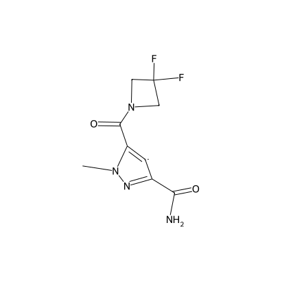 Cn1nc(C(N)=O)[c]c1C(=O)N1CC(F)(F)C1